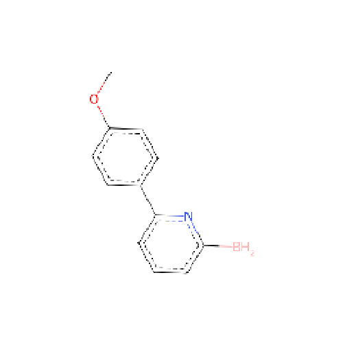 Bc1cccc(-c2ccc(OC)cc2)n1